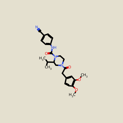 COc1ccc(CC(=O)N2CCN(C(=O)Nc3ccc(C#N)cc3)C(C(C)C)C2)cc1OC